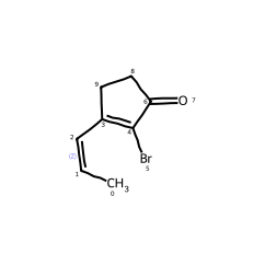 C/C=C\C1=C(Br)C(=O)CC1